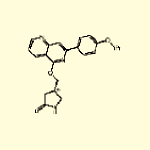 CC(C)Oc1ccc(-c2cc3ncccc3c(OC[C@H]3CNC(=O)C3)n2)cc1